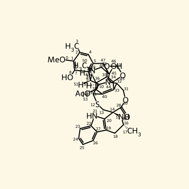 COc1c(C)cc2c(c1O)[C@H]1[C@@H]3[C@@H]4SC[C@]5(N[C@H](C)Cc6c5[nH]c5ccccc65)C(=O)OCC(c5c6c(c(C)c(OC(C)=O)c54)OCO6)N3C(O)(C2)CN1C